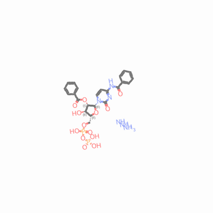 N.N.N.O=C(Nc1ccn([C@@H]2O[C@H](COP(=O)(O)OP(=O)(O)O)[C@@H](O)[C@@H]2OC(=O)c2ccccc2)c(=O)n1)c1ccccc1